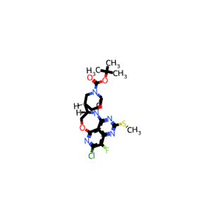 CSc1nc2c3c(nc(Cl)c(F)c3n1)OC[C@@H]1[C@@H]3CCC(CN21)N(C(=O)OC(C)(C)C)C3